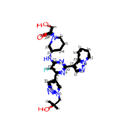 CC(C)(O)Cn1cc(-c2nc(-c3cnn4ccccc34)nc(N[C@@H]3CCCN(C(=O)CO)C3)c2F)cn1